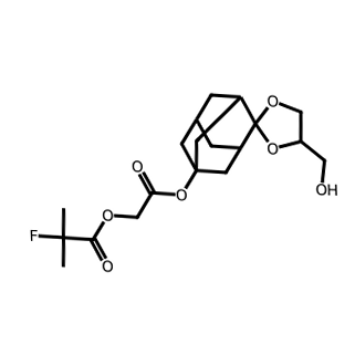 CC(C)(F)C(=O)OCC(=O)OC12CC3CC(C1)C1(OCC(CO)O1)C(C3)C2